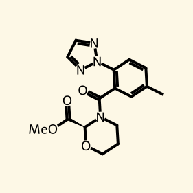 COC(=O)[C@@H]1OCCCN1C(=O)c1cc(C)ccc1-n1nccn1